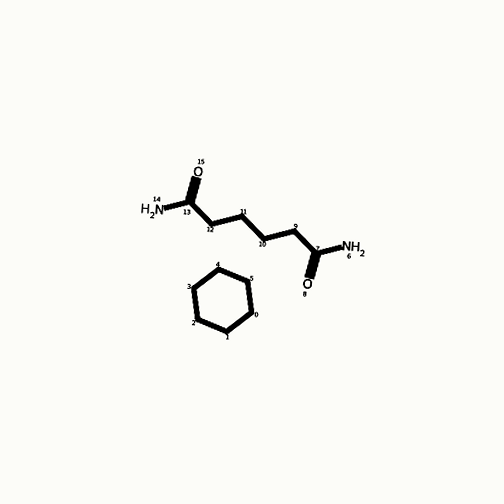 C1CCCCC1.NC(=O)CCCCC(N)=O